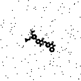 CC(=O)N1CCN(c2ccc(OC(F)F)c(OCC3CC3)c2)CC1C(=O)OCc1cccc(C(=O)N(C)C2CCCCC2)n1